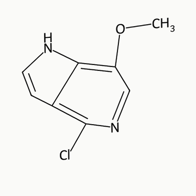 COc1cnc(Cl)c2cc[nH]c12